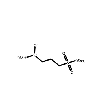 CCCCCCCC[S+]([O-])CCCS(=O)(=O)CCCCCCCC